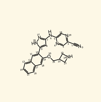 N#Cc1cnc(Nc2cc(-c3cc4ccccc4cc3OCC3CNC3)[nH]n2)cn1